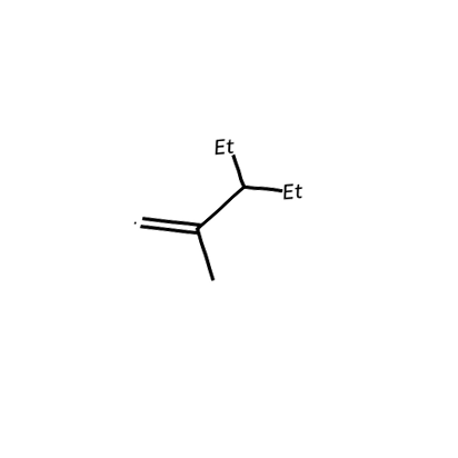 [CH]=C(C)C(CC)CC